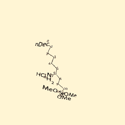 CCCCCCCCCCCCCCCC(N)CCC[Si](OC)(OC)OC.Cl